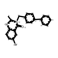 Cc1nc2ccc(Br)cc2c(=O)n1Cc1ccc(-c2ccccc2)cc1